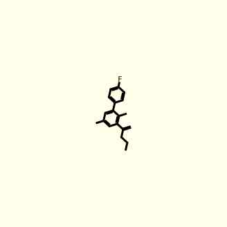 C=C(CCC)c1cc(C)cc(-c2ccc(F)cc2)c1C